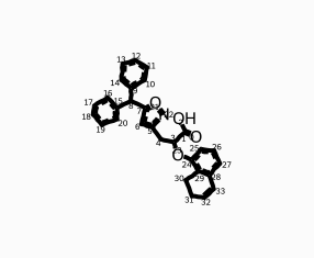 O=C(O)C(Cc1cc(C(c2ccccc2)c2ccccc2)on1)Oc1cccc2c1CCC=C2